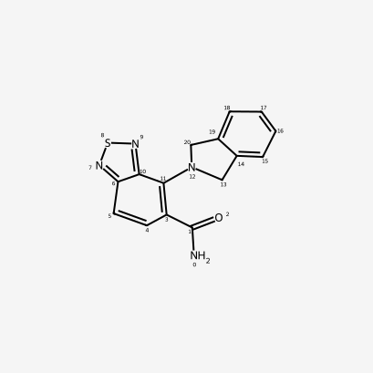 NC(=O)c1ccc2nsnc2c1N1Cc2ccccc2C1